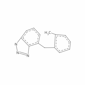 Cc1ccccc1Cc1cccc2c1N=N[N]2